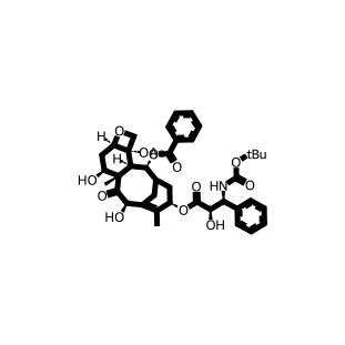 CC(=O)O[C@@]12CO[C@@H]1C[C@H](O)[C@@]1(C)C(=O)[C@H](O)C3=C(C)[C@@H](OC(=O)[C@H](O)[C@@H](NC(=O)OC(C)(C)C)c4ccccc4)CC(C3)[C@@H](OC(=O)c3ccccc3)[C@H]21